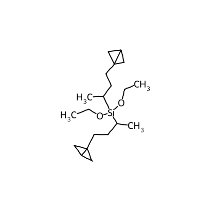 CCO[Si](OCC)(C(C)CCC12CC1C2)C(C)CCC12CC1C2